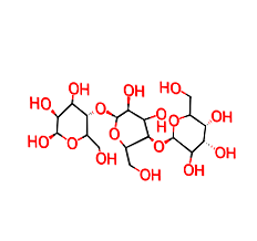 OCC1O[C@@H](O)[C@@H](O)C(O)[C@@H]1O[C@@H]1OC(CO)[C@H](O[C@H]2OC(CO)[C@H](O)[C@H](O)C2O)C(O)[C@@H]1O